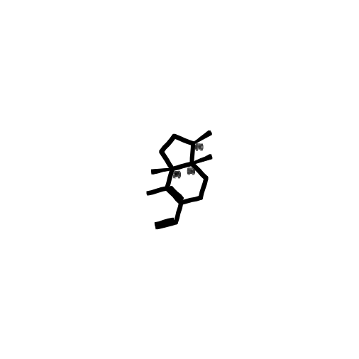 C=CC1=C(C)[C@]2(C)CC[C@@H](C)[C@]2(C)CC1